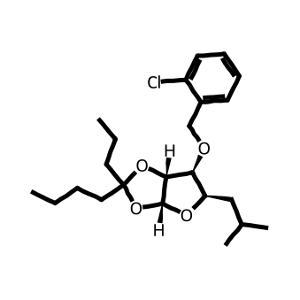 CCCCC1(CCC)O[C@H]2O[C@H](CC(C)C)[C@H](OCc3ccccc3Cl)[C@H]2O1